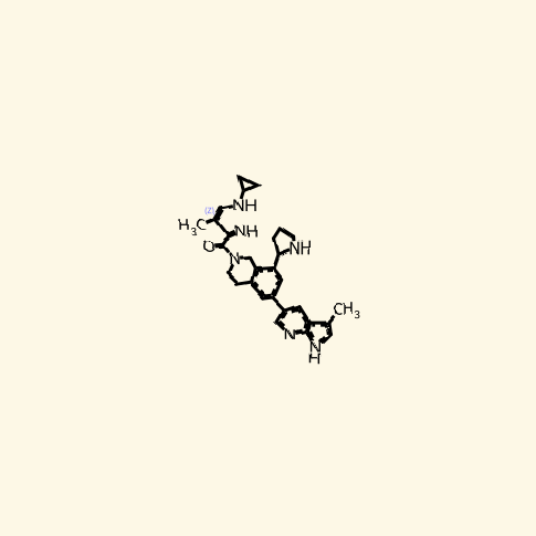 C/C(=C/NC1CC1)C(=N)C(=O)N1CCc2cc(-c3cnc4[nH]cc(C)c4c3)cc(C3CCCN3)c2C1